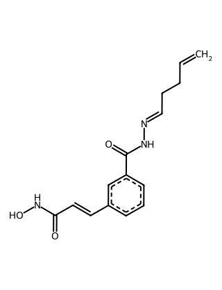 C=CCC/C=N/NC(=O)c1cccc(/C=C/C(=O)NO)c1